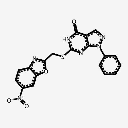 O=c1[nH]c(SCc2nc3ccc([N+](=O)[O-])cc3o2)nc2c1cnn2-c1ccccc1